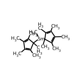 CC1=C(C)[C](C)([Sm]([CH3])[C]2(C)C(C)=C(C)C(C)=C2C)C(C)=C1C